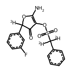 [2H]C1(c2cccc(F)c2)OC(N)=C(OS(=O)(=O)C([2H])([2H])c2ccccc2)C1=O